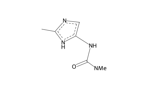 CNC(=O)Nc1cnc(C)[nH]1